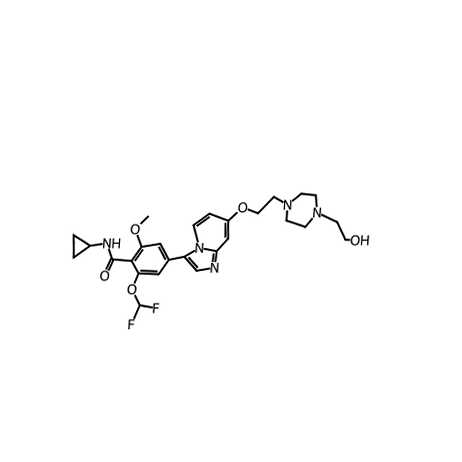 COc1cc(-c2cnc3cc(OCCN4CCN(CCO)CC4)ccn23)cc(OC(F)F)c1C(=O)NC1CC1